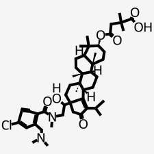 CC(C)C1=C2[C@H]3CC[C@@H]4[C@@]5(C)CC[C@H](OC(=O)CC(C)(C)C(=O)O)C(C)(C)[C@@H]5CC[C@@]4(C)[C@]3(C)CCC2(C(O)CN(C)C(=O)c2ccc(Cl)cc2CN(C)C)CC1=O